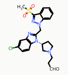 CS(=O)(=O)c1nn(Cc2nc3cc(Cl)ccc3n2[C@@H]2CCN(CCC=O)C2)c2ccccc12